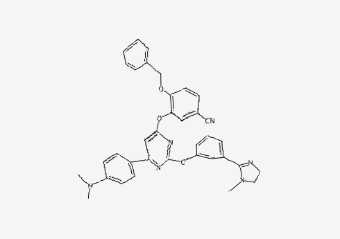 CN1CCN=C1c1cccc(Oc2nc(Oc3cc(C#N)ccc3OCc3ccccc3)cc(-c3ccc(N(C)C)cc3)n2)c1